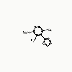 CNc1ncc([N+](=O)[O-])c(-c2nnco2)c1C(F)(F)F